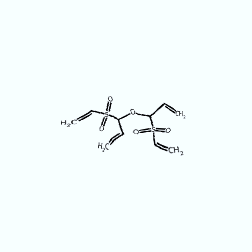 C=CC(OC(C=C)S(=O)(=O)C=C)S(=O)(=O)C=C